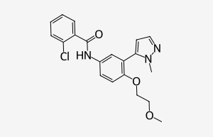 COCCOc1ccc(NC(=O)c2ccccc2Cl)cc1-c1ccnn1C